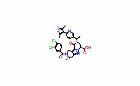 Cc1noc(C)c1-c1ccc(C(C)N2C[C@@H](C(=O)O)n3nc4c(c3C2=O)CN(C(=O)c2ccc(Cl)c(Cl)c2)[C@H](C)C4)cn1